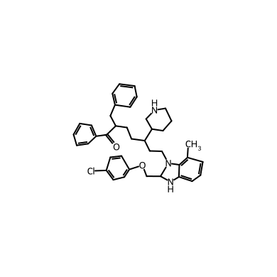 Cc1cccc2c1N(CCC(CCC(Cc1ccccc1)C(=O)c1ccccc1)C1CCCNC1)C(COc1ccc(Cl)cc1)N2